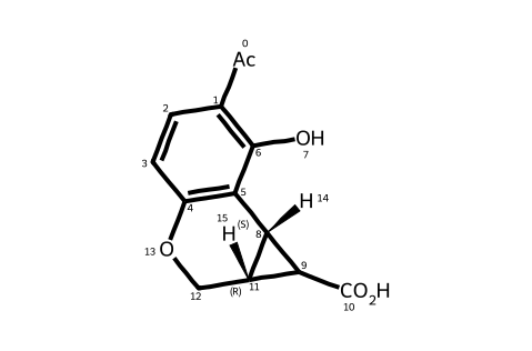 CC(=O)c1ccc2c(c1O)[C@@H]1C(C(=O)O)[C@@H]1CO2